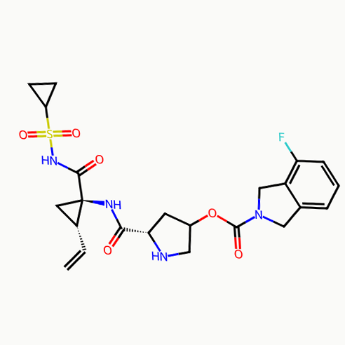 C=C[C@@H]1C[C@]1(NC(=O)[C@@H]1CC(OC(=O)N2Cc3cccc(F)c3C2)CN1)C(=O)NS(=O)(=O)C1CC1